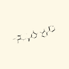 COc1nn(C)c(C)c1CNC(=O)c1ccc(Oc2cccc(-c3ccnnc3)c2C#N)c(Cl)c1